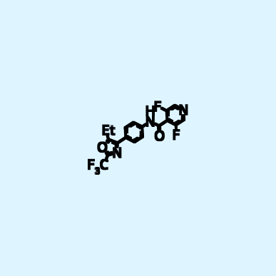 CCc1oc(C(F)(F)F)nc1-c1ccc(NC(=O)c2c(F)cncc2F)cc1